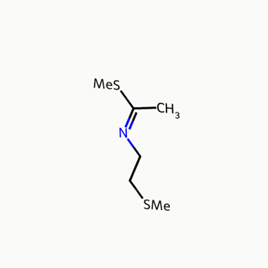 CSCCN=C(C)SC